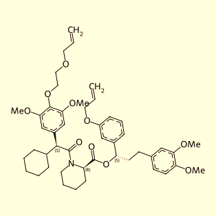 C=CCOCCOc1c(OC)cc([C@@H](C(=O)N2CCCC[C@@H]2C(=O)O[C@@H](CCc2ccc(OC)c(OC)c2)c2cccc(OCC=C)c2)C2CCCCC2)cc1OC